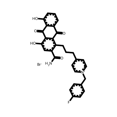 NC(=O)c1cc(O)c2c(c1CCCc1cc[n+](Cc3ccc(F)cc3)cc1)C(=O)c1cccc(O)c1C2=O.[Br-]